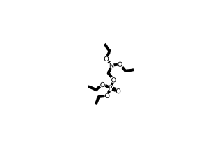 CCON(COP(=O)(OCC)OCC)OCC